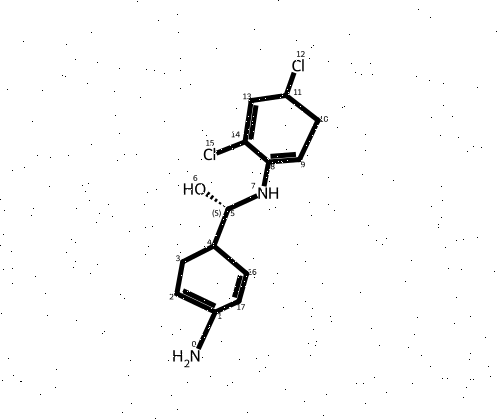 NC1=CCC([C@H](O)NC2=CCC(Cl)C=C2Cl)C=C1